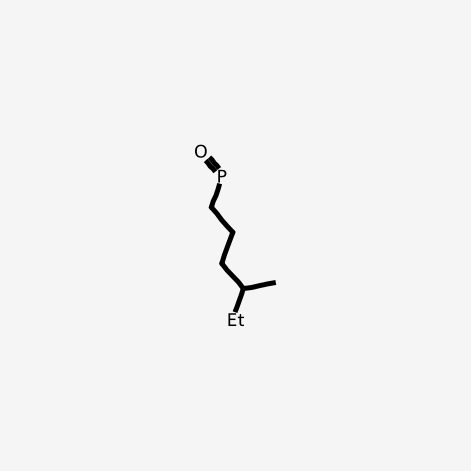 CCC(C)CCCP=O